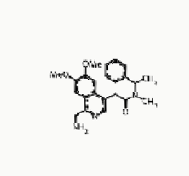 COc1cc2c(CC(=O)N(C)C(C)c3ccccc3)cnc(CN)c2cc1OC